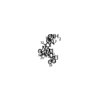 CCN(c1ccc(/N=C(\C(=O)Nc2cc(C(=O)OC)c(Cl)cc2Cl)C(=O)C2(CC)CC2)c(C)c1)C(CN)S(C)(=O)=O